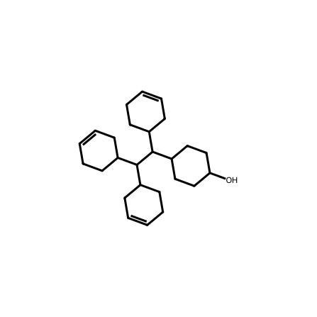 OC1CCC(C(C2CC=CCC2)C(C2CC=CCC2)C2CC=CCC2)CC1